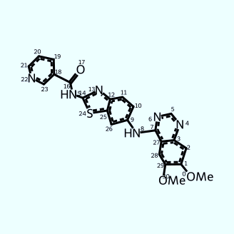 COc1cc2ncnc(Nc3ccc4nc(NC(=O)c5cccnc5)sc4c3)c2cc1OC